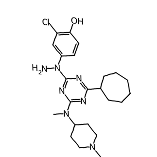 CN1CCC(N(C)c2nc(C3CCCCCC3)nc(N(N)c3ccc(O)c(Cl)c3)n2)CC1